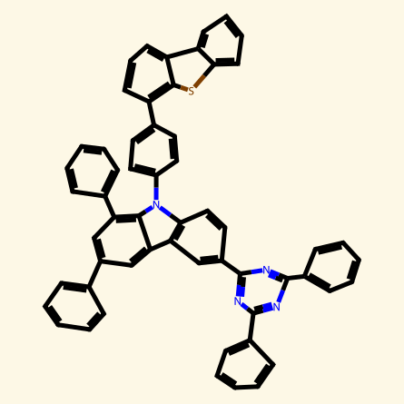 c1ccc(-c2cc(-c3ccccc3)c3c(c2)c2cc(-c4nc(-c5ccccc5)nc(-c5ccccc5)n4)ccc2n3-c2ccc(-c3cccc4c3sc3ccccc34)cc2)cc1